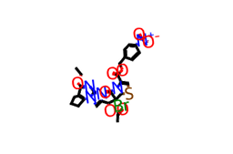 CCOc1nc2nc(C(OC(C)=O)C3(Br)C(=O)N4C(C(=O)OCc5ccc([N+](=O)[O-])cc5)=CSC43)cn2c2c1CCC2